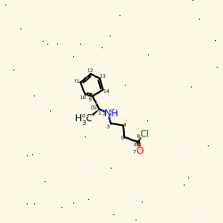 C[C@H](NCCCC(=O)Cl)c1ccccc1